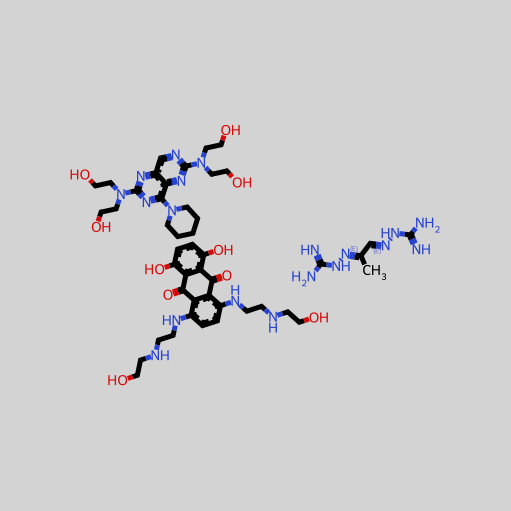 CC(/C=N/NC(=N)N)=N\NC(=N)N.O=C1c2c(O)ccc(O)c2C(=O)c2c(NCCNCCO)ccc(NCCNCCO)c21.OCCN(CCO)c1nc(N2CCCCC2)c2nc(N(CCO)CCO)ncc2n1